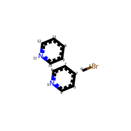 CBr.c1ccncc1.c1ccncc1